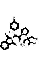 CCC(CC)(C(=O)O)[C@H]1CC[C@@H](c2cccc(F)c2)N1C(=O)[C@@H](C)N1C(=O)c2ccccc2C1=O